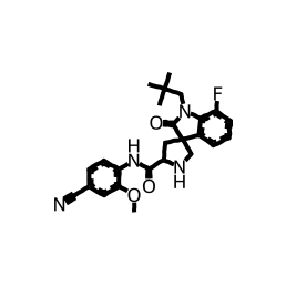 COc1cc(C#N)ccc1NC(=O)C1CC2(CN1)C(=O)N(CC(C)(C)C)c1c(F)cccc12